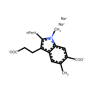 CCCCCc1c(CCC(=O)[O-])c2cc(C)c(C(=O)[O-])cc2n1C.[Na+].[Na+]